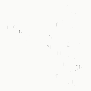 C=C(F)C(=O)N1CCN(c2nc(OC[C@@H]3CCN(C)C3)nc3cc(-c4cccc5cccc(Cl)c45)c4c(c23)OCCC4)C[C@@H]1CC#N